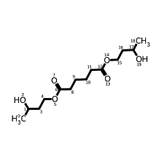 CC(O)CCOC(=O)CCCCC(=O)OCCC(C)O